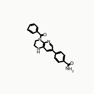 NC(=O)c1ccc(-c2cnc3c(c2)NCCN3C(=O)c2ccccc2)cc1